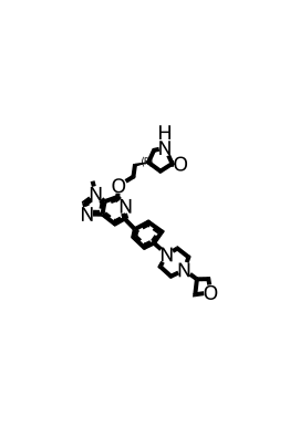 Cn1cnc2cc(-c3ccc(N4CCN(C5COC5)CC4)cc3)nc(OCC[C@H]3CNC(=O)C3)c21